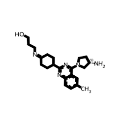 Cc1ccc2nc(C3CCC(=NCCCO)CC3)nc(N3CC[C@H](N)C3)c2c1